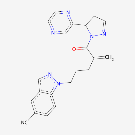 C=C(CCCn1ncc2cc(C#N)ccc21)C(=O)N1N=CCC1c1cnccn1